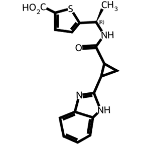 C[C@@H](NC(=O)C1CC1c1nc2ccccc2[nH]1)c1ccc(C(=O)O)s1